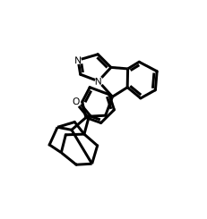 O=C(CC1c2ccccc2-c2cncn21)C12CC3CC(C1)C(c1ccccc1)C(C3)C2